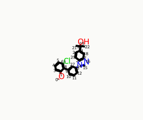 COc1cccc(Cl)c1-c1cccc(-n2cnc3cc(C(C)(C)O)ccc32)c1